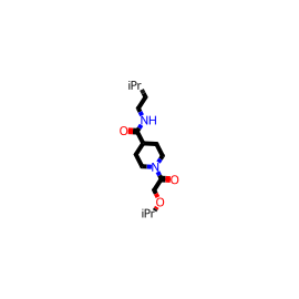 CC(C)CCNC(=O)C1CCN(C(=O)COC(C)C)CC1